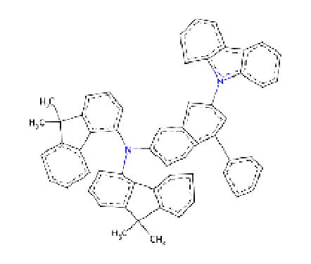 CC1(C)c2ccccc2-c2c(N(c3ccc4c(-c5ccccc5)cc(-n5c6ccccc6c6ccccc65)cc4c3)c3cccc4c3-c3ccccc3C4(C)C)cccc21